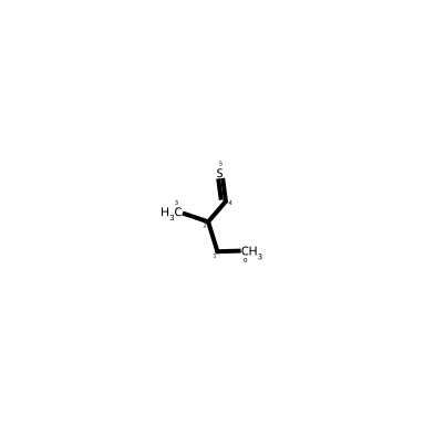 CCC(C)C=S